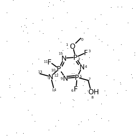 COP1(F)=NP(F)(CO)=NP(F)(N(C)C)=N1